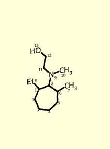 CCC1CCCCC(C)C1N(C)CCO